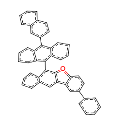 c1ccc(-c2ccc3oc4c(-c5c6ccccc6c(-c6ccc7ccccc7c6)c6ccccc56)c5ccccc5cc4c3c2)cc1